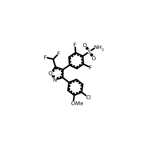 COc1cc(-c2noc(C(F)F)c2-c2cc(F)c(S(N)(=O)=O)c(F)c2)ccc1Cl